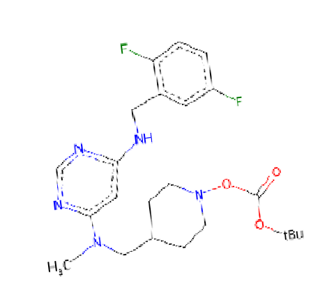 CN(CC1CCN(OC(=O)OC(C)(C)C)CC1)c1cc(NCc2cc(F)ccc2F)ncn1